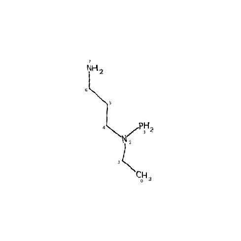 CCN(P)CCCN